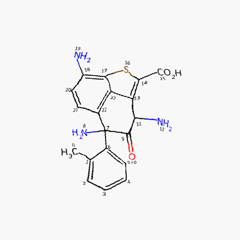 Cc1ccccc1C1(N)C(=O)C(N)c2c(C(=O)O)sc3c(N)ccc1c23